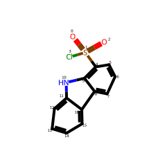 O=S(=O)(Cl)c1cccc2c1[nH]c1ccccc12